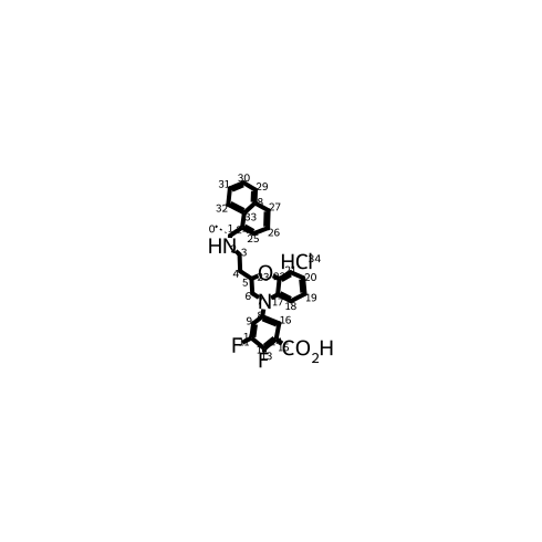 C[C@@H](NCCC1CN(c2cc(F)c(F)c(C(=O)O)c2)c2ccccc2O1)c1cccc2ccccc12.Cl